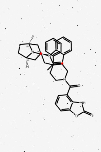 Cc1nc2ccccc2n1[C@H]1C[C@H]2CC[C@@H](C1)N2CCC1(c2ccccc2)CCN(C(=O)c2cccc3oc(=S)[nH]c23)CC1